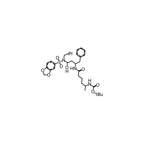 CC(C)CN(C(O)CC(Cc1ccccc1)NC(=O)CCCC(C)NC(=O)OC(C)(C)C)S(=O)(=O)c1ccc2c(c1)OCO2